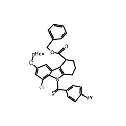 CCCCCCOc1cc(Cl)c2c(c1)c1c(n2C(=S)c2ccc(C(C)C)cc2)CCCC1C(=O)OCc1ccccc1